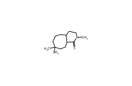 BC1(C)CCCC2CCN(C)C(=S)C2CC1